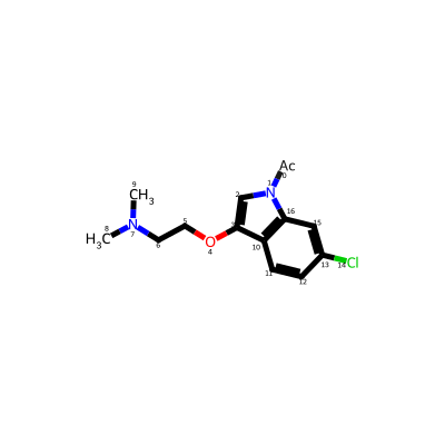 CC(=O)n1cc(OCCN(C)C)c2ccc(Cl)cc21